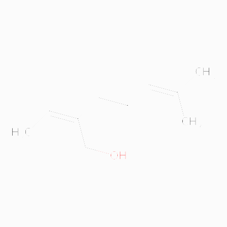 CC=C(CO)CCC=C(C)C